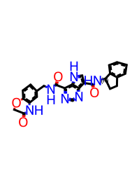 O=C1COc2ccc(CNC(=O)c3ncnc4c(C(=O)N[C@@H]5CCc6ccccc65)c[nH]c34)cc2N1